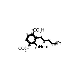 CCCCCCCc1c(C(=O)O)ccc(C(=O)O)c1CCCCC(C)C